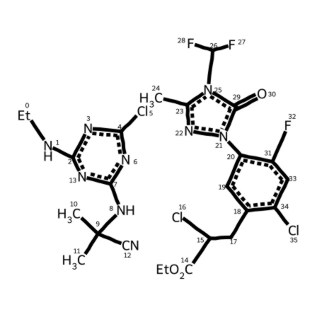 CCNc1nc(Cl)nc(NC(C)(C)C#N)n1.CCOC(=O)C(Cl)Cc1cc(-n2nc(C)n(C(F)F)c2=O)c(F)cc1Cl